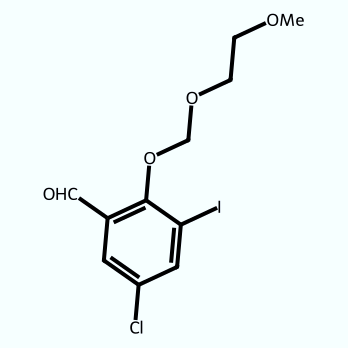 COCCOCOc1c(I)cc(Cl)cc1C=O